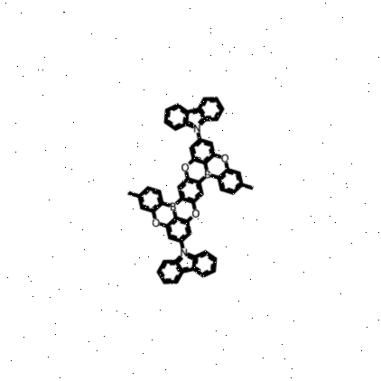 Cc1ccc2c(c1)Oc1cc(-n3c4ccccc4c4ccccc43)cc3c1B2c1cc2c(cc1O3)B1c3ccc(C)cc3Oc3cc(-n4c5ccccc5c5ccccc54)cc(c31)O2